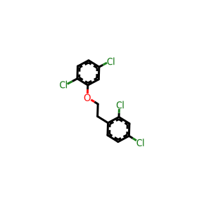 Clc1ccc(CCOc2cc(Cl)ccc2Cl)c(Cl)c1